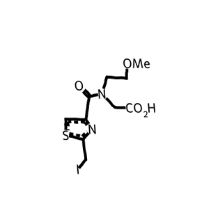 COCCN(CC(=O)O)C(=O)c1csc(CI)n1